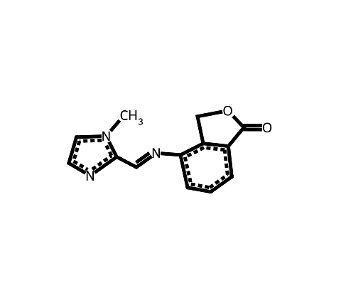 Cn1ccnc1/C=N/c1cccc2c1COC2=O